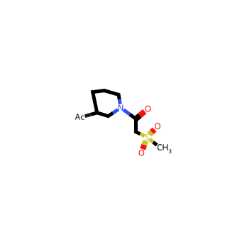 CC(=O)C1CCCN(C(=O)CS(C)(=O)=O)C1